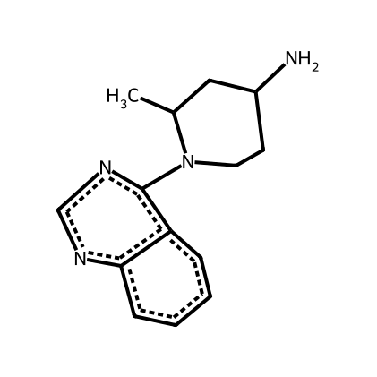 CC1CC(N)CCN1c1ncnc2ccccc12